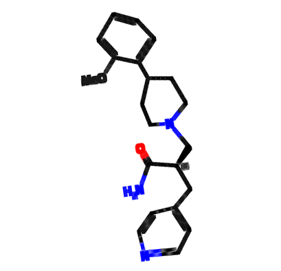 COc1ccccc1C1CCN(C[C@@H](Cc2ccncc2)C(N)=O)CC1